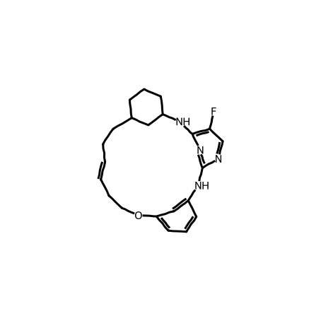 Fc1cnc2nc1NC1CCCC(CC/C=C/CCOc3cccc(c3)N2)C1